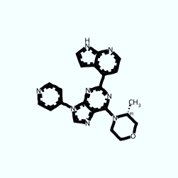 C[C@@H]1COCCN1c1nc(-c2ccnc3[nH]ccc23)nc2c1ncn2-c1ccncc1